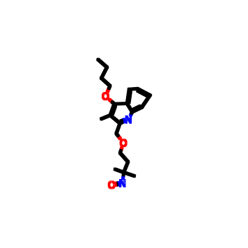 CCCCOc1c(C)c(COCCC(C)(C)N=O)nc2ccccc12